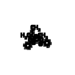 C=CCC[C@@H](C)O[C@@H]1OC(C)[C@H](OC(=O)c2ccccc2)CC1OC(=O)c1ccccc1